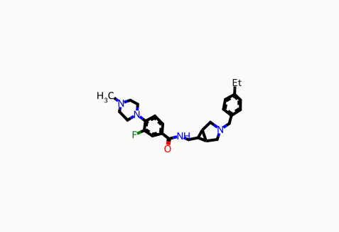 CCc1ccc(CN2CC3C(CNC(=O)c4ccc(N5CCN(C)CC5)c(F)c4)C3C2)cc1